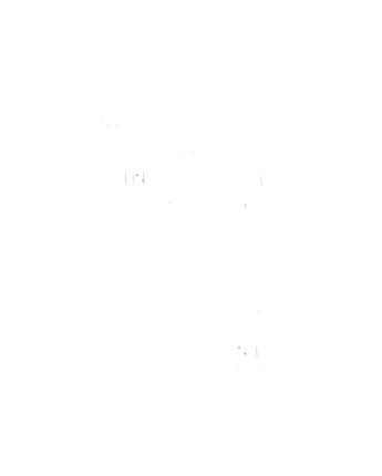 CS(=O)(=O)Nc1ccc(CN)cc1Cl.[Cl-].[H+]